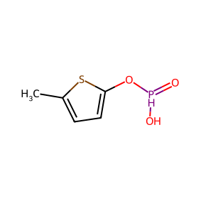 Cc1ccc(O[PH](=O)O)s1